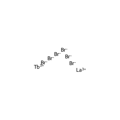 [Br-].[Br-].[Br-].[Br-].[Br-].[Br-].[La+3].[Tb+3]